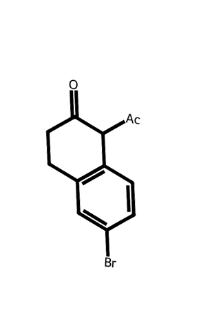 CC(=O)C1C(=O)CCc2cc(Br)ccc21